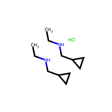 CCNCC1CC1.CCNCC1CC1.Cl